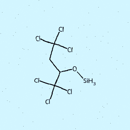 [SiH3]OC(CC(Cl)(Cl)Cl)C(Cl)(Cl)Cl